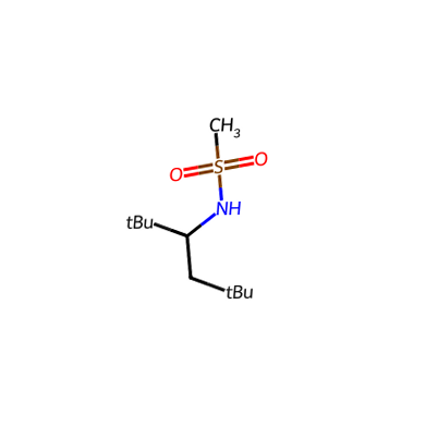 CC(C)(C)CC(NS(C)(=O)=O)C(C)(C)C